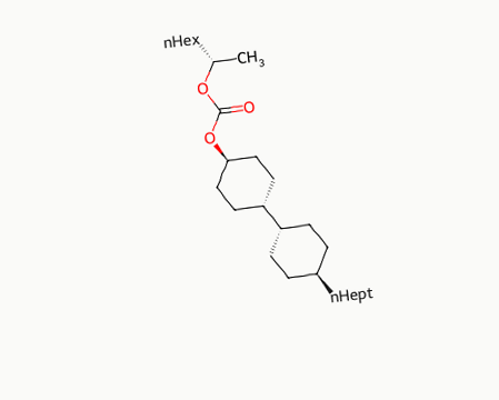 CCCCCCC[C@H]1CC[C@H]([C@H]2CC[C@H](OC(=O)O[C@@H](C)CCCCCC)CC2)CC1